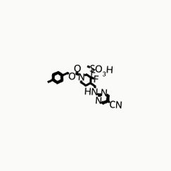 CS(=O)(=O)O.Cc1ccc(COC(=O)N2CCC(CNc3ncc(C#N)cn3)C(F)(F)C2)cc1